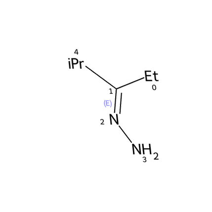 CC/C(=N\N)C(C)C